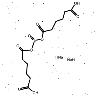 O=C(O)CCCCC(=O)OS(=O)OC(=O)CCCCC(=O)O.[NaH].[NaH]